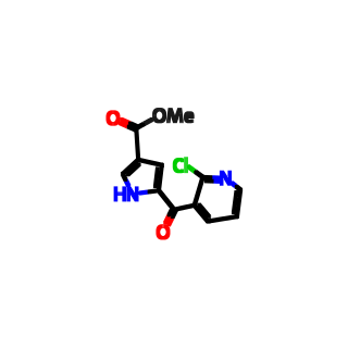 COC(=O)c1c[nH]c(C(=O)c2cccnc2Cl)c1